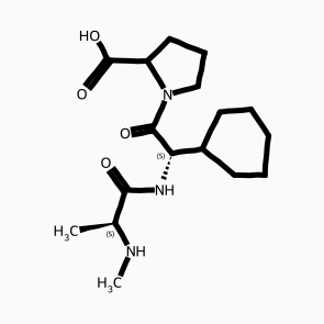 CN[C@@H](C)C(=O)N[C@H](C(=O)N1CCCC1C(=O)O)C1CCCCC1